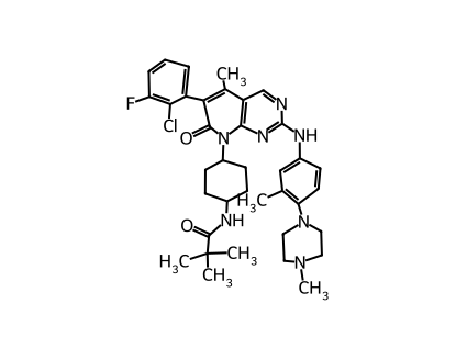 Cc1cc(Nc2ncc3c(C)c(-c4cccc(F)c4Cl)c(=O)n(C4CCC(NC(=O)C(C)(C)C)CC4)c3n2)ccc1N1CCN(C)CC1